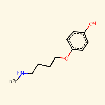 CCCNCCCCOc1ccc(O)cc1